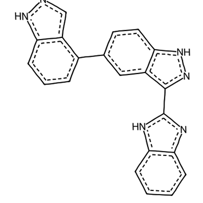 c1ccc2[nH]c(-c3n[nH]c4ccc(-c5cccc6[nH]ncc56)cc34)nc2c1